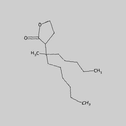 CCCCCCC(C)(CCCCC)C1CCOC1=O